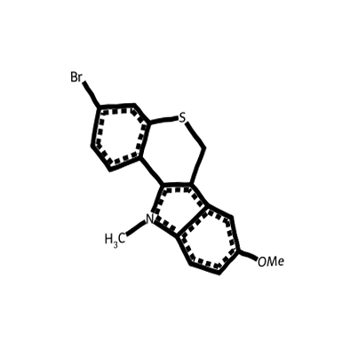 COc1ccc2c(c1)c1c(n2C)-c2ccc(Br)cc2SC1